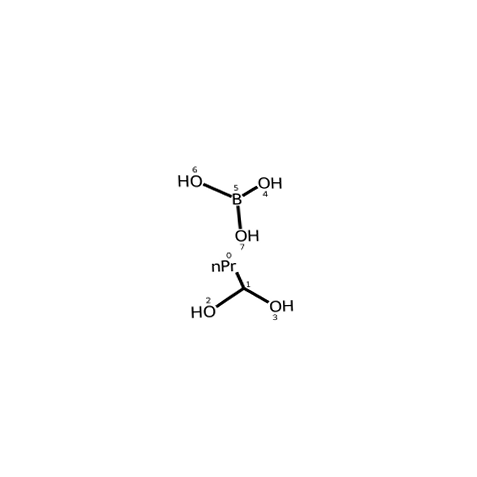 CCCC(O)O.OB(O)O